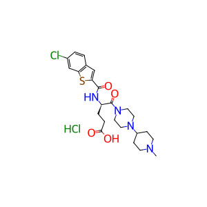 CN1CCC(N2CCN(C(=O)[C@@H](CCC(=O)O)NC(=O)c3cc4ccc(Cl)cc4s3)CC2)CC1.Cl